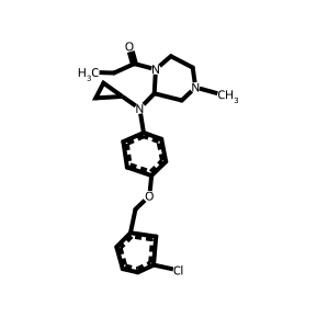 CCC(=O)N1CCN(C)CC1N(c1ccc(OCc2cccc(Cl)c2)cc1)C1CC1